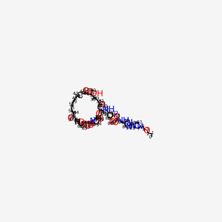 CCCOCCN1CCN(c2ncc(CNC(=O)O[C@@H]3CC[C@@H](C[C@@H](N)[C@@H]4C[C@@H](OC)[C@H](C)/C=C(\C)[C@@H](O)[C@@H](OC)C(=O)[C@H](C)C[C@H](C)/C=C/C=C/C=C(\C)[C@@H](OC)C[C@@H]5CC[C@@H](C)[C@@](O)(O5)C(=O)C(=O)N5CCCC[C@H]5C(=O)O4)C[C@H]3OC)cn2)CC1